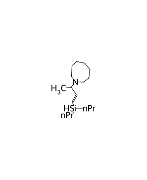 CCC[SiH](C=CC(C)N1CCCCCCC1)CCC